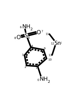 Nc1ccc(S(N)(=O)=O)cc1.[CH3][Sn][CH3]